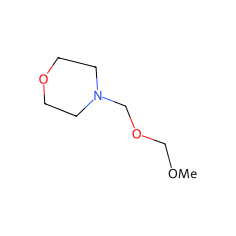 COCOCN1CCOCC1